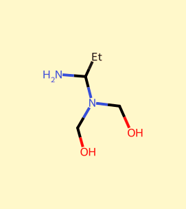 CCC(N)N(CO)CO